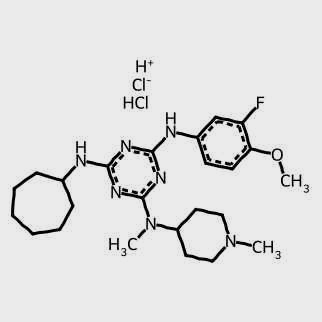 COc1ccc(Nc2nc(NC3CCCCCC3)nc(N(C)C3CCN(C)CC3)n2)cc1F.Cl.[Cl-].[H+]